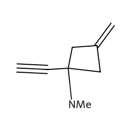 C#CC1(NC)CC(=C)C1